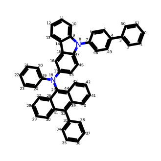 c1ccc(-c2ccc(-n3c4ccccc4c4cc(N(c5ccccc5)c5c6ccccc6c(-c6ccccc6)c6ccccc56)ccc43)cc2)cc1